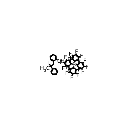 Cc1ccccc1CC(C)(I)c1ccccc1.Fc1c(F)c(F)c([B-](c2c(F)c(F)c(F)c(F)c2F)(c2c(F)c(F)c(F)c(F)c2F)c2c(F)c(F)c(F)c(F)c2F)c(F)c1F